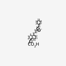 O=C(O)COc1cccc2c(CCC[S+]([O-])/C=C/c3ccccc3)cccc12